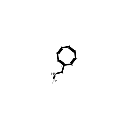 CC(C)NCC1=C/C=C\C=C/C=C\1